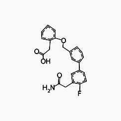 NC(=O)Cc1cc(-c2cccc(COc3ccccc3CC(=O)O)c2)ccc1F